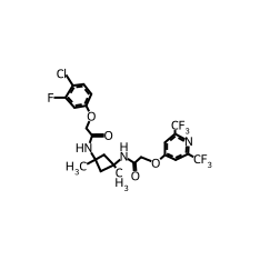 CC1(NC(=O)COc2cc(C(F)(F)F)nc(C(F)(F)F)c2)CC(C)(NC(=O)COc2ccc(Cl)c(F)c2)C1